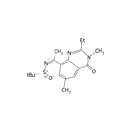 CCc1nc2c(/C(C)=N\[S@+]([O-])C(C)(C)C)cc(C)cc2c(=O)n1C